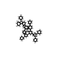 c1ccc(-c2ccc(-c3cc(-c4nc(-c5ccccc5)nc(-c5ccccc5)n4)cc(-c4ccc(-c5ccccc5)cc4)c3-n3c4ccccc4c4c5sc6c(ccc7c6c6ccccc6n7-c6ccccc6)c5ccc43)cc2)cc1